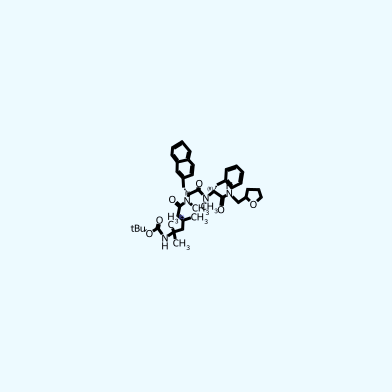 C/C(=C\C(=O)N(C)[C@H](Cc1ccc2ccccc2c1)C(=O)N(C)[C@H](Cc1ccccc1)C(=O)NCC1CCCO1)CC(C)(C)NC(=O)OC(C)(C)C